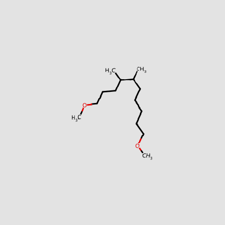 COCCCCCC(C)C(C)CCCOC